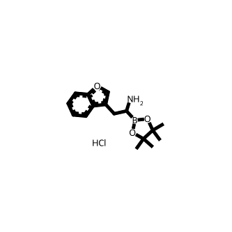 CC1(C)OB(C(N)Cc2coc3ccccc23)OC1(C)C.Cl